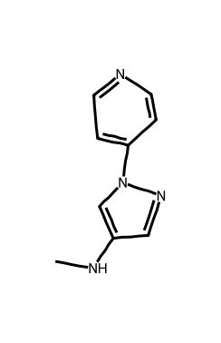 CNc1cnn(-c2ccncc2)c1